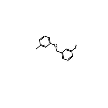 Cc1cccc(OCc2cccc(F)c2)c1